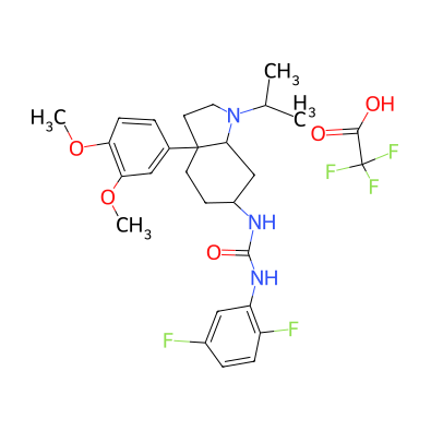 COc1ccc(C23CCC(NC(=O)Nc4cc(F)ccc4F)CC2N(C(C)C)CC3)cc1OC.O=C(O)C(F)(F)F